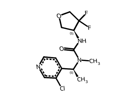 C[C@@H](c1ccncc1Cl)N(C)C(=O)N[C@H]1COCC1(F)F